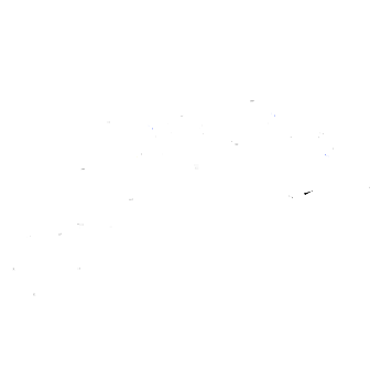 N#C[C@@H]1CCCN1C(=O)CNC12CC3CC4(NS(=O)(=O)c5ccc(-c6ccccc6)cc5)CC(C1)C4(C3)C2